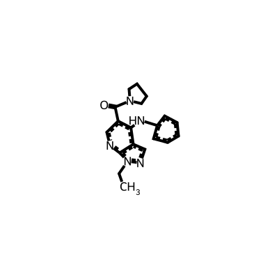 CCn1ncc2c(Nc3ccccc3)c(C(=O)N3CCCC3)cnc21